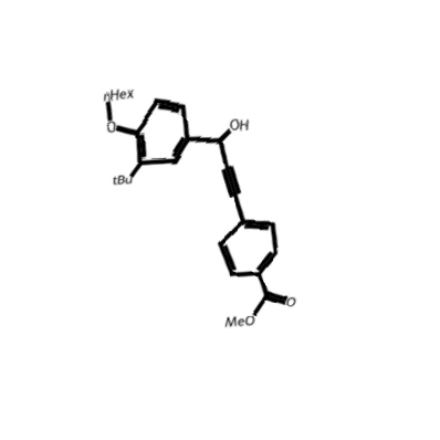 CCCCCCOc1ccc(C(O)C#Cc2ccc(C(=O)OC)cc2)cc1C(C)(C)C